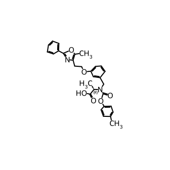 Cc1ccc(OC(=O)N(Cc2cccc(OCCc3nc(-c4ccccc4)oc3C)c2)[C@H](C)C(=O)O)cc1